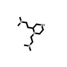 CN(C)CCC1CNCCN1CCN(C)C